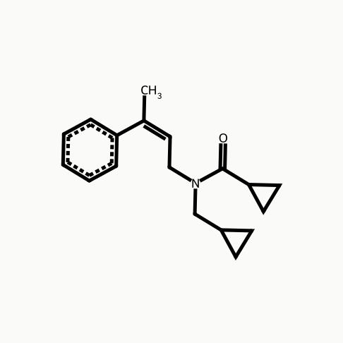 C/C(=C/CN(CC1CC1)C(=O)C1CC1)c1ccccc1